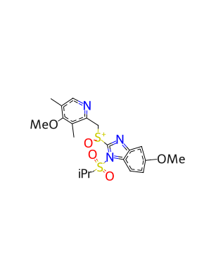 COc1ccc2c(c1)nc([S+]([O-])Cc1ncc(C)c(OC)c1C)n2S(=O)(=O)C(C)C